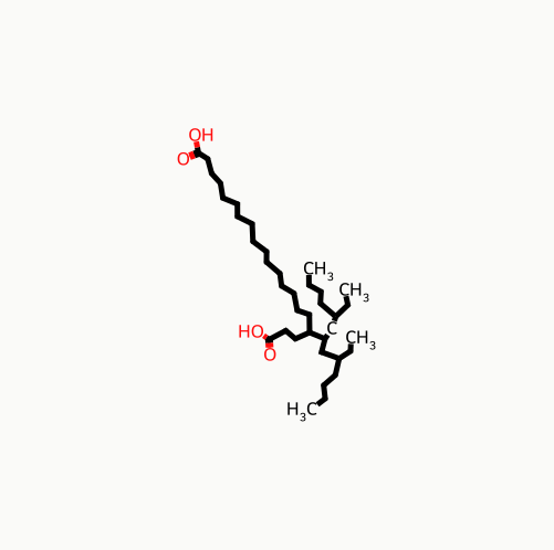 CCCCC(CC)CC(CC(CC)CCCC)C(CCCCCCCCCCCCCCCC(=O)O)CCC(=O)O